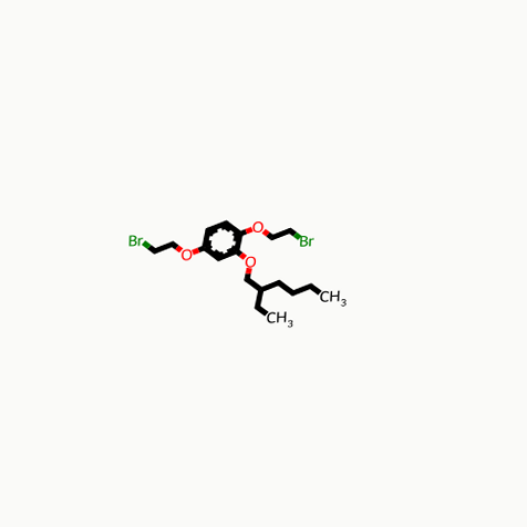 CCCCC(CC)COc1cc(OCCBr)ccc1OCCBr